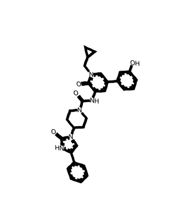 O=C(Nc1cc(-c2cccc(O)c2)cn(CC2CC2)c1=O)N1CCC(n2cc(-c3ccccc3)[nH]c2=O)CC1